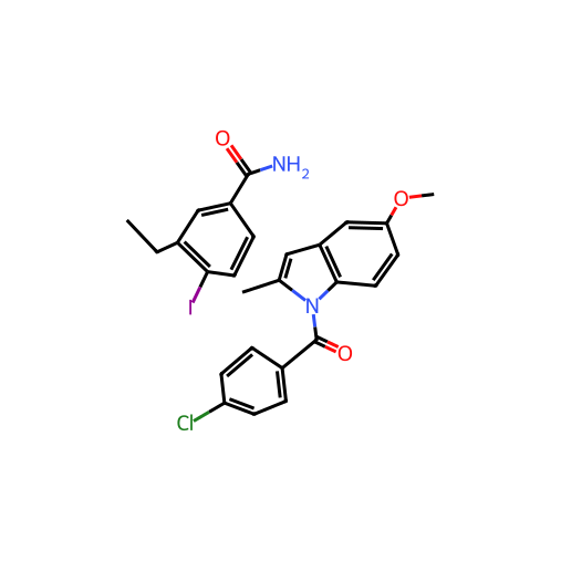 CCc1cc(C(N)=O)ccc1I.COc1ccc2c(c1)cc(C)n2C(=O)c1ccc(Cl)cc1